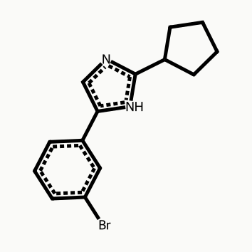 Brc1cccc(-c2cnc(C3CCCC3)[nH]2)c1